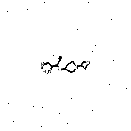 C#C/C(OC1CCN(C2COC2)CC1)=C(N)\C=N/C